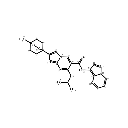 CC(C)Oc1nc2nc(C34CCC(C)(CC3)OC4)cn2cc1C(=O)Nc1cnn2cccnc12